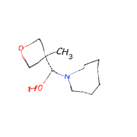 CC1(C(O)N2CCCCC2)COC1